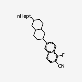 CCCCCCCC1CCC2CC(c3ccc4c(F)c(C#N)ccc4c3)CCC2C1